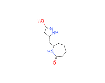 O=C1CCCCC(CC2CC(O)=NN2)N1